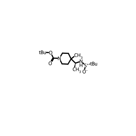 C[C@H](N[S@@+]([O-])C(C)(C)C)C1(C)CCN(C(=O)OC(C)(C)C)CC1